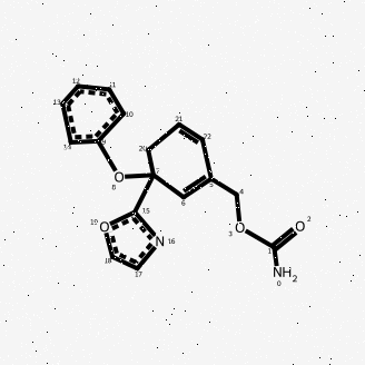 NC(=O)OCC1=CC(Oc2ccccc2)(c2ncco2)CC=C1